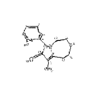 Nc1c2n(n(-c3ccccn3)c1=O)CCOCC2